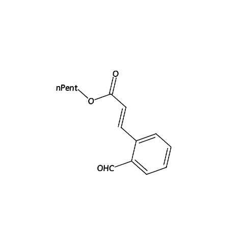 CCCCCOC(=O)C=Cc1ccccc1C=O